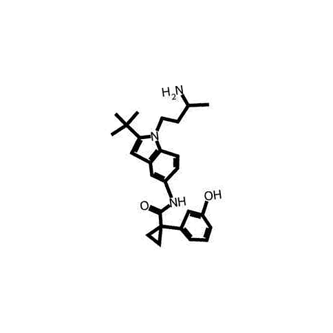 CC(N)CCn1c(C(C)(C)C)cc2cc(NC(=O)C3(c4cccc(O)c4)CC3)ccc21